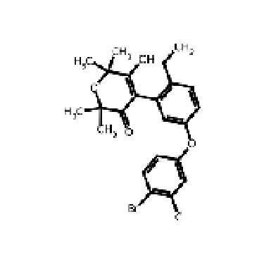 CCc1ccc(Oc2ccc(Br)c(Cl)c2)cc1C1=C(O)C(C)(C)OC(C)(C)C1=O